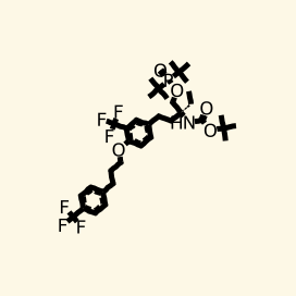 CC[C@](CCc1ccc(OCCCc2ccc(C(F)(F)F)cc2)c(C(F)(F)F)c1)(COP(=O)(C(C)(C)C)C(C)(C)C)NC(=O)OC(C)(C)C